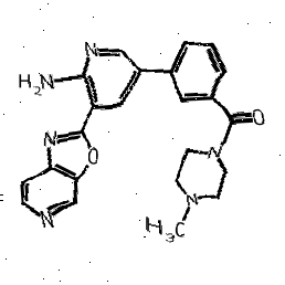 CN1CCN(C(=O)c2cccc(-c3cnc(N)c(-c4nc5ccncc5o4)c3)c2)CC1